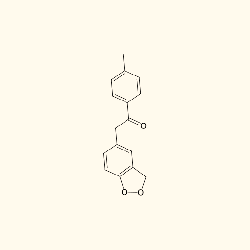 Cc1ccc(C(=O)Cc2ccc3c(c2)COO3)cc1